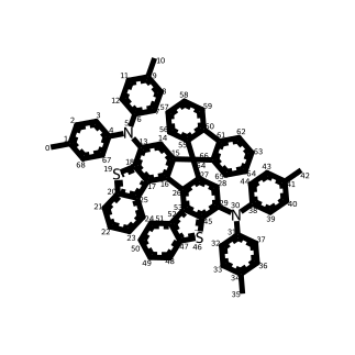 Cc1ccc(N(c2ccc(C)cc2)c2cc3c(c4c2sc2ccccc24)-c2c(cc(N(c4ccc(C)cc4)c4ccc(C)cc4)c4sc5ccccc5c24)C32c3ccccc3-c3ccccc32)cc1